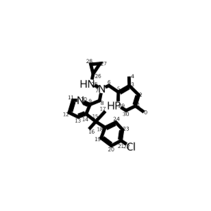 CC1=CC(C)=C(CN(Cc2ncccc2C(C)(C)c2ccc(Cl)cc2)NC2CC2)PC1